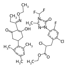 CCO/N=C(\CC)C1=C(O)CC(c2c(C)cc(C)cc2C)CC1=O.CCOC(=O)C(Cl)Cc1cc(-n2nc(C)n(C(F)F)c2=O)c(F)cc1Cl